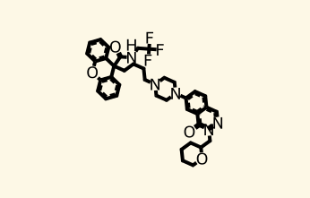 O=C(NCC(F)(F)F)C1(CCCCN2CCN(c3ccc4cnn(CC5CCCCO5)c(=O)c4c3)CC2)c2ccccc2Oc2ccccc21